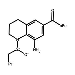 CCCCC(=O)c1cc(N)c2c(c1)CCCN2[S+]([O-])CC(C)C